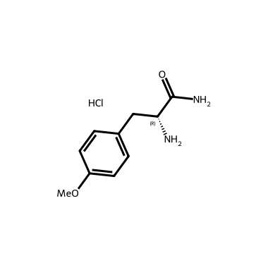 COc1ccc(C[C@@H](N)C(N)=O)cc1.Cl